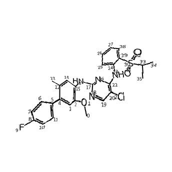 COc1cc(-c2ccc(F)cc2)c(C)cc1Nc1ncc(Cl)c(Nc2ccccc2S(=O)(=O)C(C)C)n1